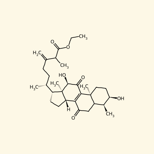 C=C(CC[C@@H](C)[C@H]1CC[C@H]2C3=C(C(=O)[C@H](O)[C@]12C)[C@@]1(C)CC[C@@H](O)[C@@H](C)C1CC3=O)C(C)C(=O)OCC